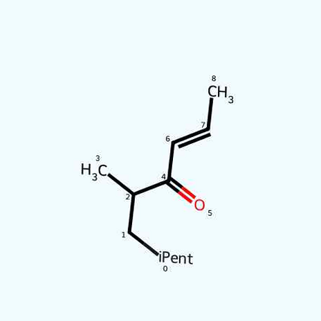 [CH2]C(CCC)CC(C)C(=O)C=CC